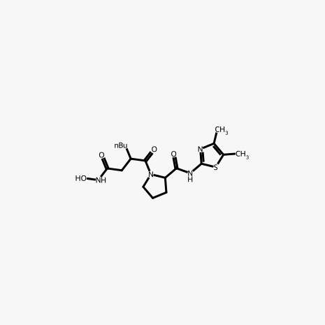 CCCCC(CC(=O)NO)C(=O)N1CCCC1C(=O)Nc1nc(C)c(C)s1